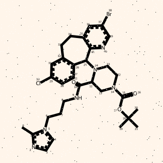 Cc1nccn1CCCNC(=O)C1CN(C(=O)OC(C)(C)C)CCN1C1c2ccc(Cl)cc2CCc2cc(Br)cnc21